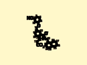 N#Cc1cccc(OCc2ccc(CCC(=O)O)c(C(=O)NCc3cccc4ccccc34)c2)c1